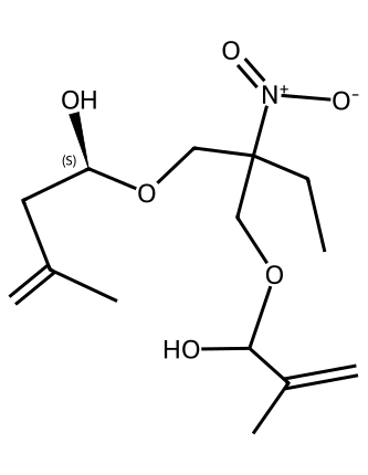 C=C(C)C[C@@H](O)OCC(CC)(COC(O)C(=C)C)[N+](=O)[O-]